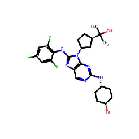 CC(C)(O)[C@@H]1CC[C@H](n2c(Nc3c(F)cc(F)cc3F)nc3cnc(N[C@H]4CC[C@H](O)CC4)nc32)C1